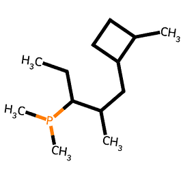 CCC(C(C)CC1CCC1C)P(C)C